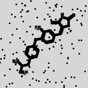 NC(Cc1ccc(Oc2ccc(/C=C3/SC(=O)NC3=O)cc2C(F)(F)F)cc1)C(=O)O